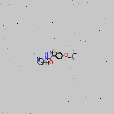 CCC(C)COc1ccc2c(C(=O)N[C@H]3CN4CCC3CC4)nsc2c1